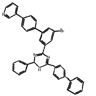 Brc1cc(C2=NC(c3ccccc3)NC(c3ccc(-c4ccccc4)cc3)=N2)cc(-c2ccc(-c3cccnc3)cc2)c1